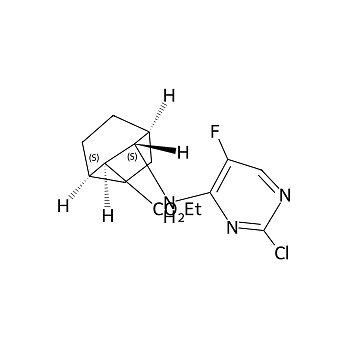 CCOC(=O)[C@H]1[C@H]2CC[C@H](CC2)[C@@H]1Nc1nc(Cl)ncc1F